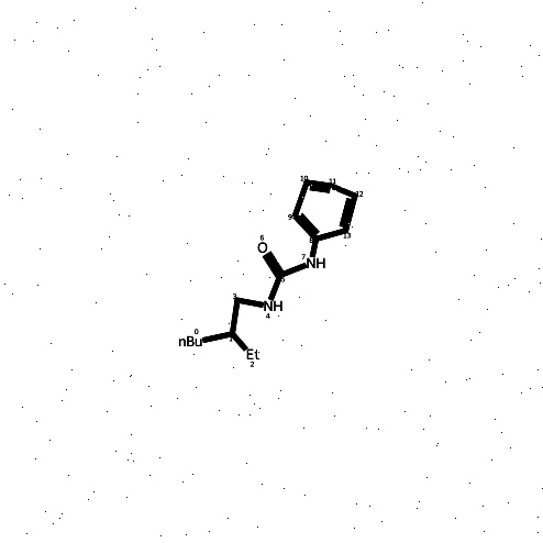 CCCCC(CC)CNC(=O)Nc1ccccc1